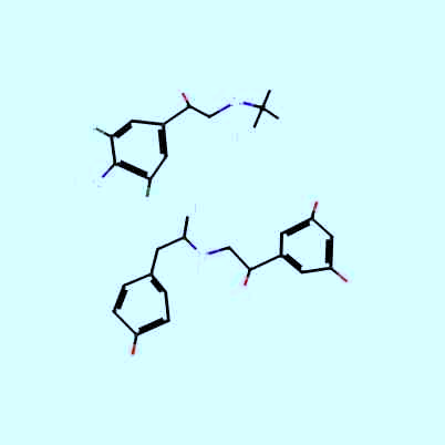 CC(C)(C)NCC(O)c1cc(Cl)c(N)c(Cl)c1.CC(Cc1ccc(O)cc1)NCC(O)c1cc(O)cc(O)c1